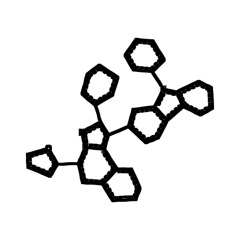 c1ccc(-c2nn3c(-c4ccco4)cc4ccccc4c3c2-c2ccc3c4ccccc4n(-c4ccccc4)c3c2)cc1